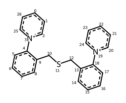 c1cc[n+](-c2ccccc2CSCc2ccccc2-[n+]2ccccc2)cc1